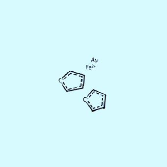 [Au].[Fe+2].c1cc[cH-]c1.c1cc[cH-]c1